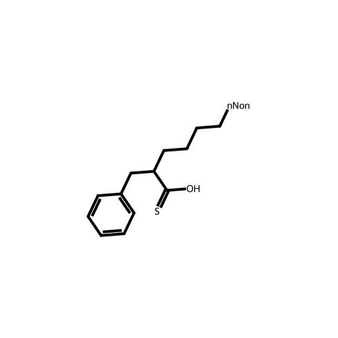 CCCCCCCCCCCCCC(Cc1ccccc1)C(O)=S